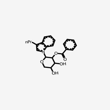 CCCc1cn(C2OCC(O)C(O)C2OC(=O)c2ccccc2)c2ccccc12